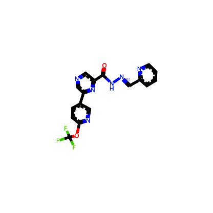 O=C(N/N=C/c1ccccn1)c1cncc(-c2ccc(OC(F)(F)F)nc2)n1